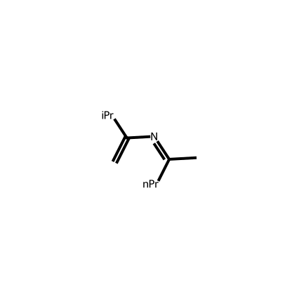 C=C(/N=C(/C)CCC)C(C)C